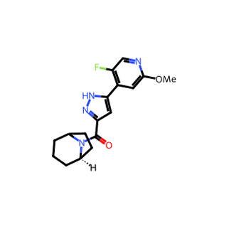 COc1cc(-c2cc(C(=O)N3C4CCC[C@@H]3CC4)n[nH]2)c(F)cn1